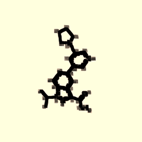 CC(C)n1nc(C(N)=O)c2cc(-c3cncc(N4CCCC4)c3)ccc21